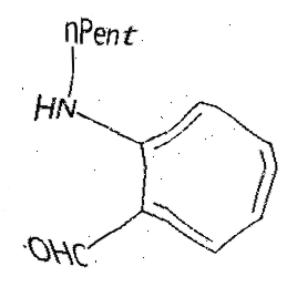 CCCCCNc1ccccc1[C]=O